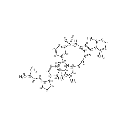 Cc1cccc(C)c1-c1cc2nc(n1)NS(=O)(=O)c1cccc(c1)C(=O)N(Cc1nccc(N3CCC[C@H]3COC(C)C)n1)[C@H](CC(C)(C)C)CO2